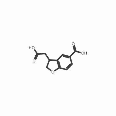 O=C(O)CC1COc2ccc(C(=O)O)cc21